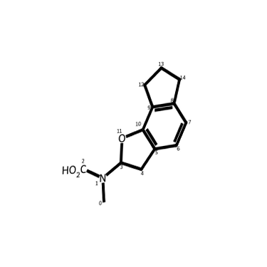 CN(C(=O)O)C1Cc2ccc3c(c2O1)CCC3